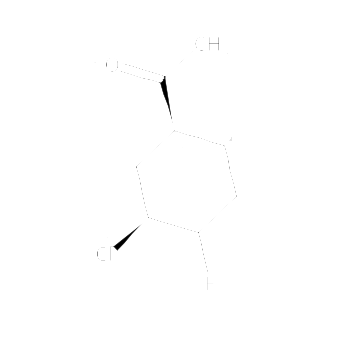 CC(=O)[C@H]1CCC(F)[C@@H](Cl)C1